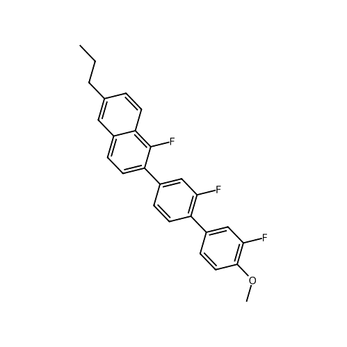 CCCc1ccc2c(F)c(-c3ccc(-c4ccc(OC)c(F)c4)c(F)c3)ccc2c1